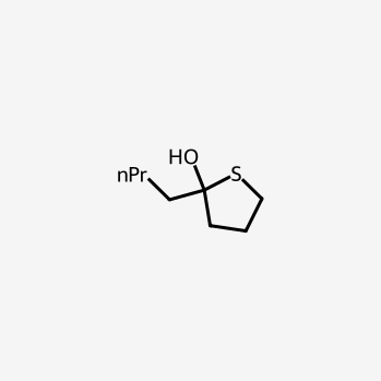 CCCCC1(O)CCCS1